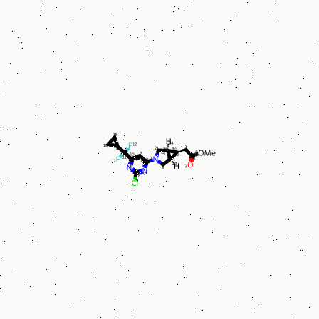 COC(=O)C[C@H]1[C@H]2CN(c3cc(C(F)(F)C4CC4)nc(Cl)n3)C[C@@H]12